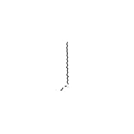 CCCCCCCCCCCCCCCCCCCCCCCCN(C)C(=O)OCC(C)C